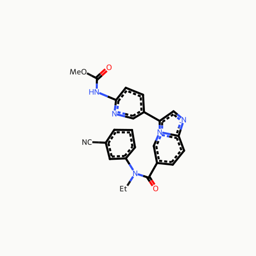 CCN(C(=O)c1ccc2ncc(-c3ccc(NC(=O)OC)nc3)n2c1)c1cccc(C#N)c1